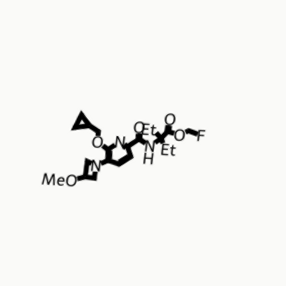 CCC(CC)(NC(=O)c1ccc(N2CC(OC)C2)c(OCC2CC2)n1)C(=O)OCF